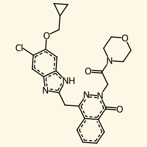 O=C(Cn1nc(Cc2nc3cc(Cl)c(OCC4CC4)cc3[nH]2)c2ccccc2c1=O)N1CCOCC1